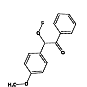 COc1ccc(C(OF)C(=O)c2ccccc2)cc1